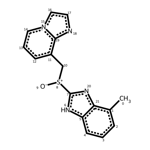 Cc1cccc2[nH]c([S+]([O-])Cc3cccn4ccnc34)nc12